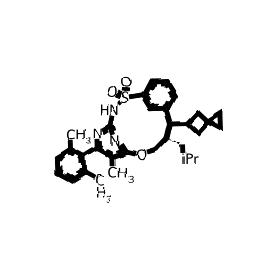 Cc1cccc(C)c1-c1nc2nc(c1C)OC[C@@H](CC(C)C)C(C1CC3(CC3)C1)c1cccc(c1)S(=O)(=O)N2